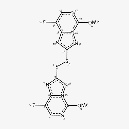 COc1ncc(F)c2nc(SSc3nc4c(F)cnc(OC)n4n3)nn12